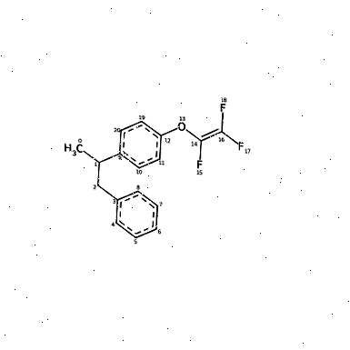 CC(Cc1ccccc1)c1ccc(OC(F)=C(F)F)cc1